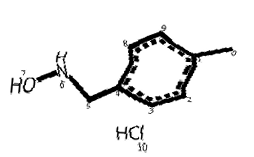 Cc1ccc(CNO)cc1.Cl